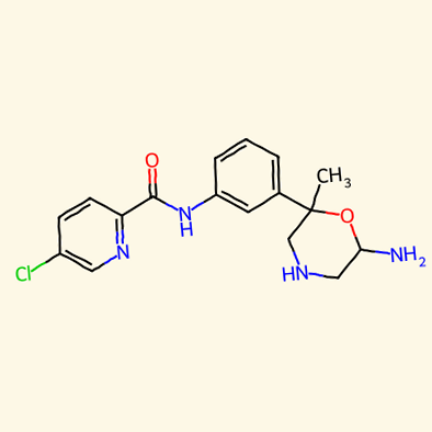 CC1(c2cccc(NC(=O)c3ccc(Cl)cn3)c2)CNCC(N)O1